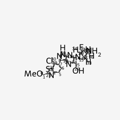 COCc1nc2ccc(-c3n[nH]c4nc(N5C[C@H]6CC[C@@H]5[C@@H](F)[C@H]6N)c(CO)nc34)c(Cl)c2s1